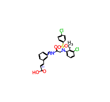 Cc1c(Cl)cccc1N(CC(=O)NCc1cccc(/C=C/C(=O)O)c1)S(=O)(=O)c1ccc(Cl)cc1